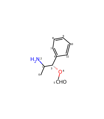 CC(N)[C@@H](OC=O)c1ccccc1